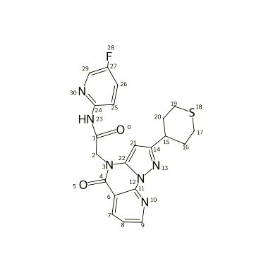 O=C(Cn1c(=O)c2cccnc2n2nc(C3CCSCC3)cc12)Nc1ccc(F)cn1